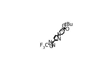 CC(C)(C)OC(=O)N1CCN(c2ccc(-c3noc(C(F)(F)F)n3)cn2)CC1